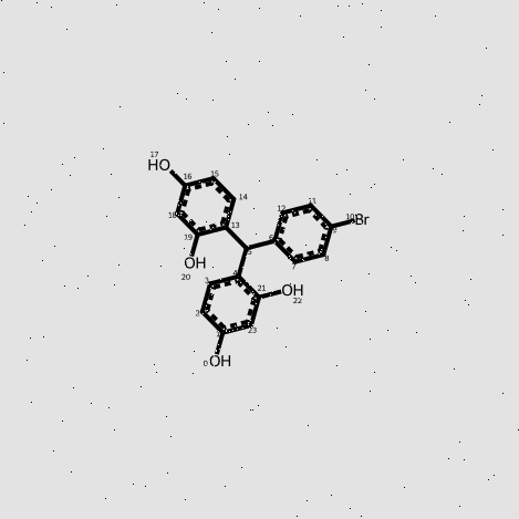 Oc1ccc(C(c2ccc(Br)cc2)c2ccc(O)cc2O)c(O)c1